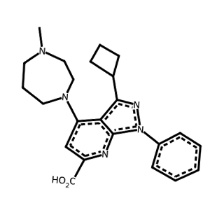 CN1CCCN(c2cc(C(=O)O)nc3c2c(C2CCC2)nn3-c2ccccc2)CC1